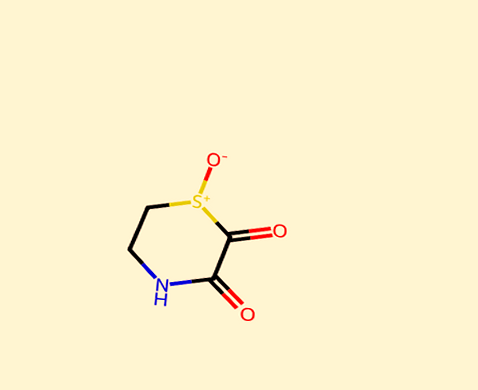 O=C1NCC[S+]([O-])C1=O